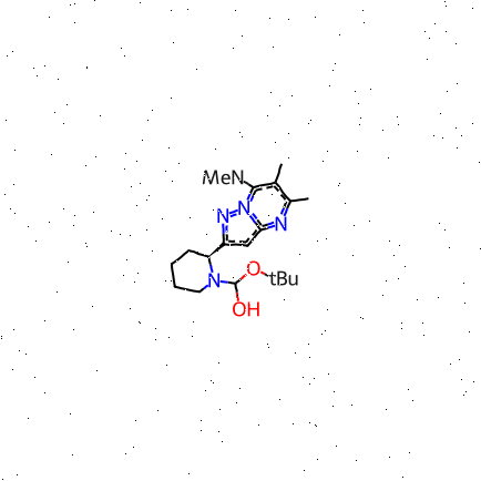 CNc1c(C)c(C)nc2cc([C@@H]3CCCCN3C(O)OC(C)(C)C)nn12